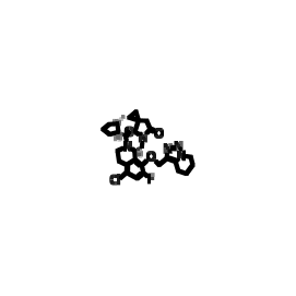 C[C@H]1CCC[C@H]1C(=O)N1CCc2c(Cl)cc(F)c(OCc3nnn4c3CCCC4)c2[C@H]1CN1CC2(CC2)CC1=O